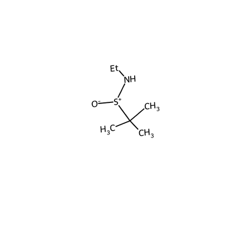 CCN[S+]([O-])C(C)(C)C